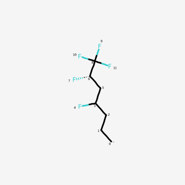 [CH2]CCC(F)C[C@H](F)C(F)(F)F